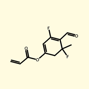 C=CC(=O)OC1=CC(F)=C(C=O)C(C)(F)C1